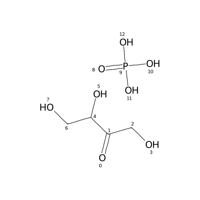 O=C(CO)C(O)CO.O=P(O)(O)O